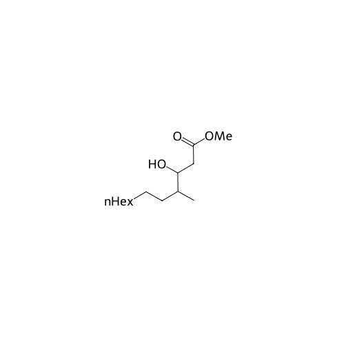 CCCCCCCCC(C)C(O)CC(=O)OC